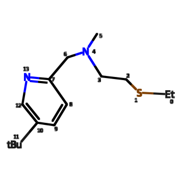 CCSCCN(C)Cc1ccc(C(C)(C)C)cn1